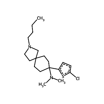 CCCCN1CCC2(CCC(c3ccc(Cl)s3)(N(C)C)CC2)C1